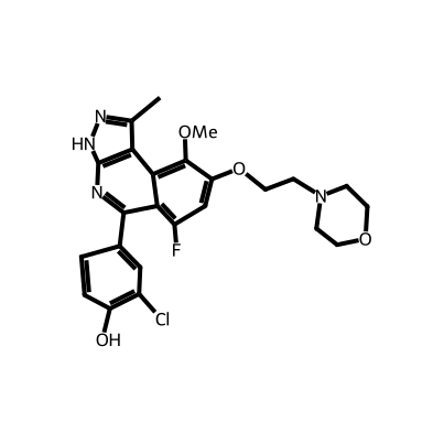 COc1c(OCCN2CCOCC2)cc(F)c2c(-c3ccc(O)c(Cl)c3)nc3[nH]nc(C)c3c12